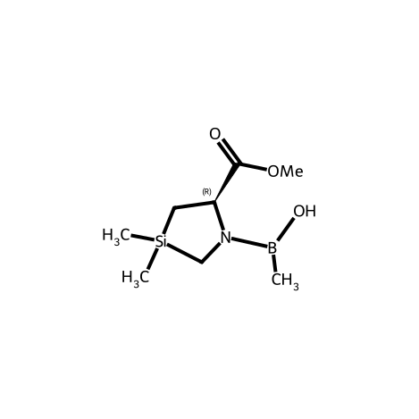 COC(=O)[C@@H]1C[Si](C)(C)CN1B(C)O